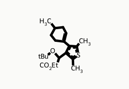 CCOC(=O)C(OC(C)(C)C)c1c(C)sc(C)c1C1=CCC(C)CC1